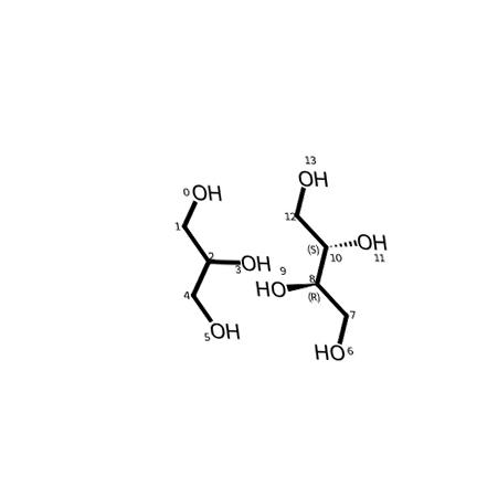 OCC(O)CO.OC[C@@H](O)[C@@H](O)CO